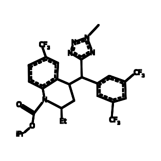 CCC1CC(C(c2cc(C(F)(F)F)cc(C(F)(F)F)c2)c2nnn(C)n2)c2cc(C(F)(F)F)ccc2N1C(=O)OC(C)C